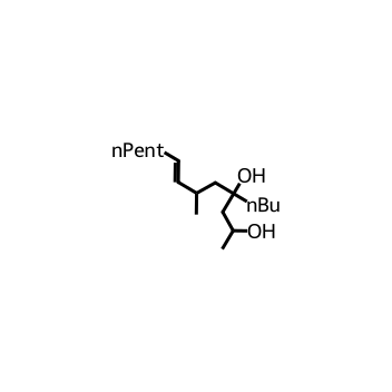 CCCCCC=CC(C)CC(O)(CCCC)CC(C)O